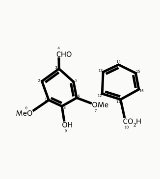 COc1cc(C=O)cc(OC)c1O.O=C(O)c1ccccc1